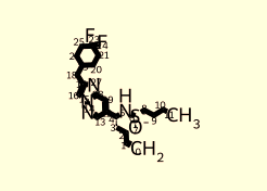 C=CCC[C@@H](N[S@@+]([O-])CCCC)c1cnn2cc(CC3CCC(F)(F)CC3)nc2c1